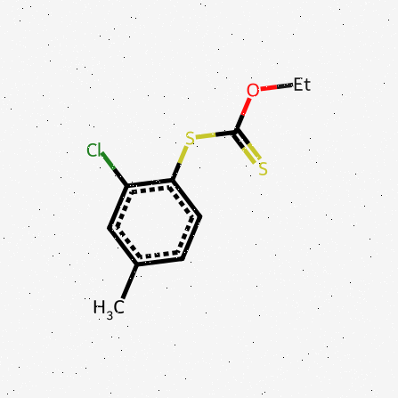 CCOC(=S)Sc1ccc(C)cc1Cl